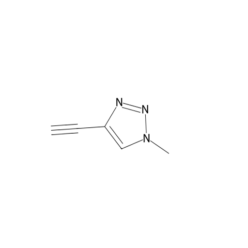 C#Cc1cn(C)nn1